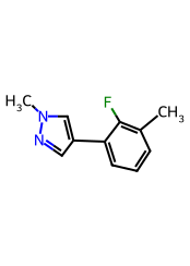 Cc1cccc(-c2cnn(C)c2)c1F